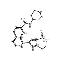 O=C(NC1CCOCC1)c1ccc2cccc(-c3cc4c([nH]3)CCNC4=O)c2n1